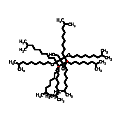 CC(C)CCCCCCCOC(CCCCCCCC(C)C)(CCCCCCCC(C)C)C(CO)(C(O)(CCCCCCCC(C)C)CCCCCCCC(C)C)C(CCCCCCCC(C)C)(CCCCCCCC(C)C)OCCCCCCCC(C)C